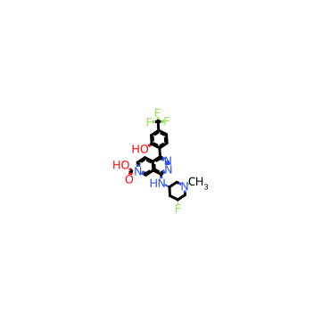 CN1C[C@H](F)C[C@@H](Nc2nnc(-c3ccc(C(F)(F)F)cc3O)c3ccncc23)C1.O=CO